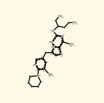 CCCC(CC)Oc1nc(C)c2ncc(Cc3cnc(N4CCCCC4)c(C)c3)n2n1